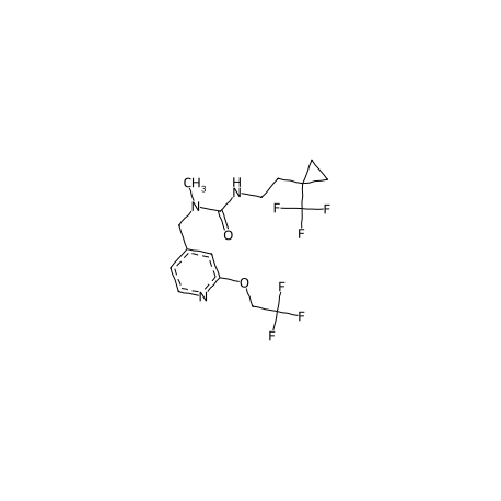 CN(Cc1ccnc(OCC(F)(F)F)c1)C(=O)NCCC1(C(F)(F)F)CC1